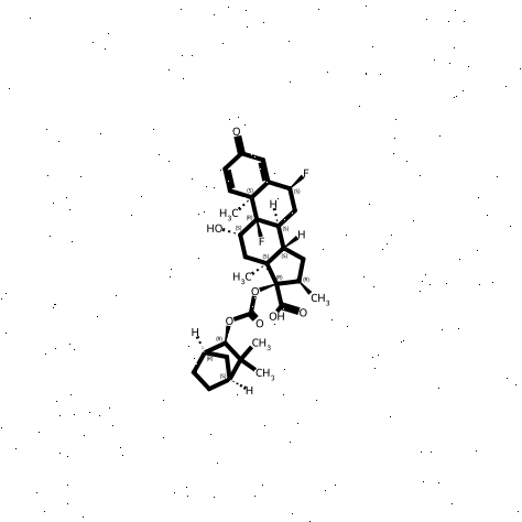 C[C@@H]1C[C@H]2[C@@H]3C[C@H](F)C4=CC(=O)C=C[C@]4(C)[C@@]3(F)[C@@H](O)C[C@]2(C)[C@@]1(OC(=O)O[C@@H]1[C@@H]2CC[C@@H](C2)C1(C)C)C(=O)O